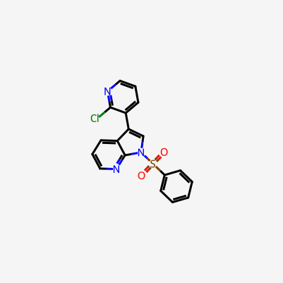 O=S(=O)(c1ccccc1)n1cc(-c2cccnc2Cl)c2cccnc21